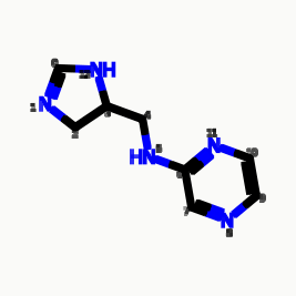 C1=NCC(CNc2cnccn2)N1